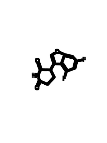 O=C1CCC(c2coc3cc(F)cc(F)c23)C(=O)N1